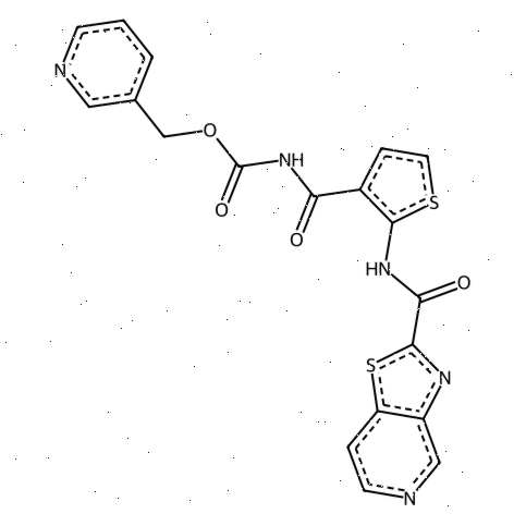 O=C(NC(=O)c1ccsc1NC(=O)c1nc2cnccc2s1)OCc1cccnc1